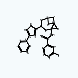 Cc1nccc(C(=O)NC23CC(c4nc(-c5cccnc5)no4)CC4CC2(C4)C3)n1